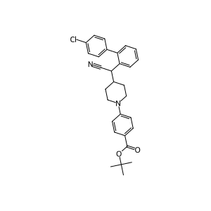 CC(C)(C)OC(=O)c1ccc(N2CCC(C(C#N)c3ccccc3-c3ccc(Cl)cc3)CC2)cc1